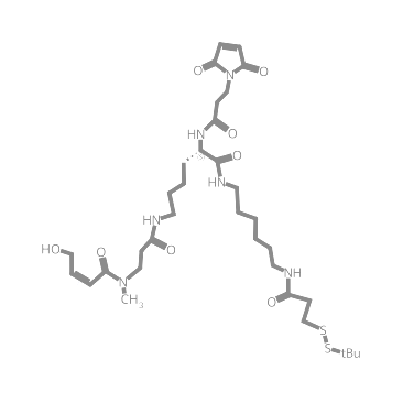 CN(CCC(=O)NCCCC[C@H](NC(=O)CCN1C(=O)C=CC1=O)C(=O)NCCCCCCNC(=O)CCSSC(C)(C)C)C(=O)/C=C\CO